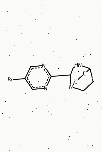 Brc1cnc(C2CNC3CCN2CC3)nc1